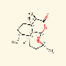 C[C@@H]1CC[C@H]2[C@@H](C)C(=O)O[C@H]3O[C@]4(C)CC[C@@H]1[C@]32OO4